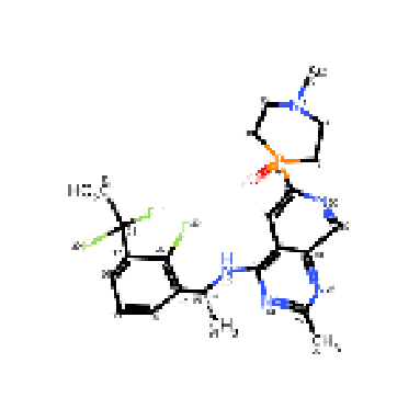 CC(=O)N1CCP(=O)(c2cc3c(N[C@H](C)c4cccc(C(F)(F)C(=O)O)c4F)nc(C)nc3cn2)CC1